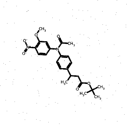 COc1cc(N(C(C)=O)c2ccc(C(C)CC(=O)OC(C)(C)C)cc2)ccc1[N+](=O)[O-]